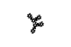 C(=Nc1ccc(Cc2ccc(N=Cc3ccccc3)cc2N=Nc2ccccc2)c(N=Nc2ccccc2)c1)c1ccccc1